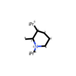 CC(C)C1CCCN(C(C)C)C1C